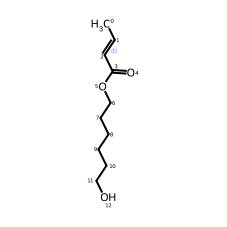 C/C=C/C(=O)OCCCCCCO